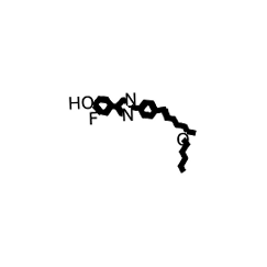 CCCCCOC(C)CCCC=Cc1ccc(-c2ncc(-c3ccc(O)c(F)c3)cn2)cc1